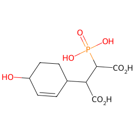 O=C(O)C(C1C=CC(O)CC1)C(C(=O)O)P(=O)(O)O